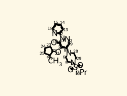 CCCS(=O)(=O)N1CCN(c2cnn(-c3ccccn3)c(=O)c2O[C@@H]2CCC[C@H]2C)CC1